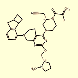 C=C(F)C(=O)N1CCN(c2nc(OC[C@@H]3CCCN3C)nc3c2CCN(c2cccc4c2C2CCC2C4)C3)C[C@@H]1CC#N